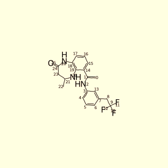 C=C(Nc1cccc(CC(F)(F)F)c1)c1cccc2c1NC(C)CC(=O)N2